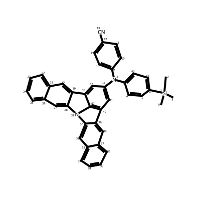 C[Si](C)(C)c1ccc(N(c2ccc(C#N)cc2)c2cc3c4cc5ccccc5cc4n4c5cc6ccccc6cc5c(c2)c34)cc1